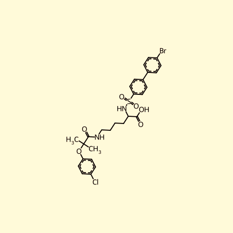 CC(C)(Oc1ccc(Cl)cc1)C(=O)NCCCCC(NS(=O)(=O)c1ccc(-c2ccc(Br)cc2)cc1)C(=O)O